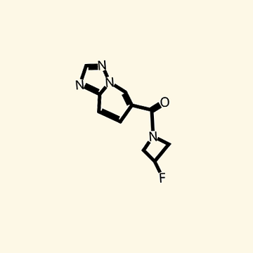 O=C(c1ccc2ncnn2c1)N1CC(F)C1